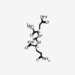 NC(=O)CC[C@H](NC(=S)N[C@@H](CCC(=O)O)C(=O)O)C(=O)O